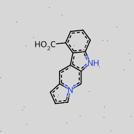 O=C(O)c1cccc2[nH]c3cn4cccc4cc3c12